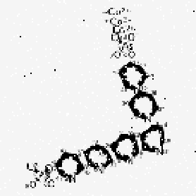 O=[As]([O-])([O-])[O-].O=[As]([O-])([O-])[O-].[Co+2].[Co+2].[Co+2].c1ccncc1.c1ccncc1.c1ccncc1.c1ccncc1.c1ccncc1.c1ccncc1